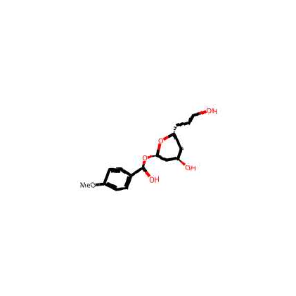 COc1ccc(C(O)O[C@@H]2C[C@H](O)C[C@@H](CCCO)O2)cc1